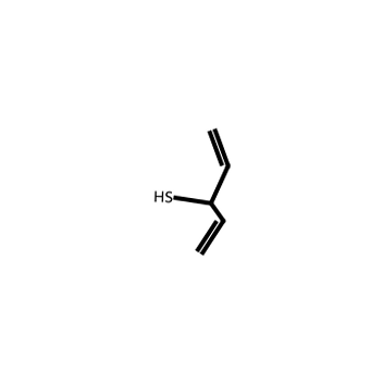 C=CC(S)C=C